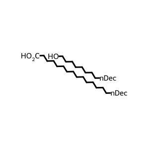 CCCCCCCCCCCCCCCCCCCCCCCCC(=O)O.CCCCCCCCCCCCCCCCCCO